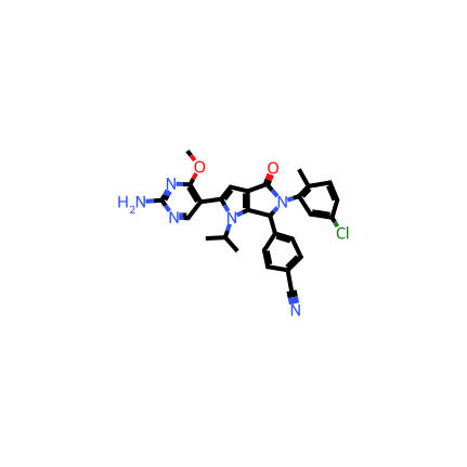 COc1nc(N)ncc1-c1cc2c(n1C(C)C)C(c1ccc(C#N)cc1)N(c1cc(Cl)ccc1C)C2=O